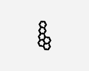 c1ccc2cc3c(cc2c1)cc1ccc2cccc4ccc3c1c24